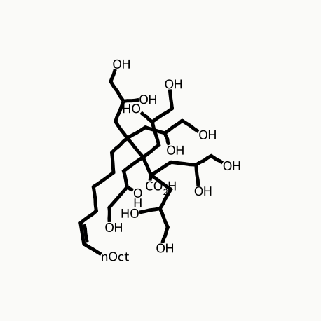 CCCCCCCC/C=C\CCCCC(CC(O)CO)(CC(O)CO)C(CC(O)CO)(CC(O)CO)C(CC(O)CO)(CC(O)CO)C(=O)O